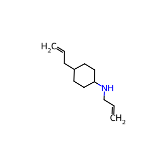 C=CCNC1CCC(CC=C)CC1